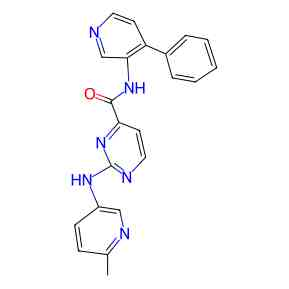 Cc1ccc(Nc2nccc(C(=O)Nc3cnccc3-c3ccccc3)n2)cn1